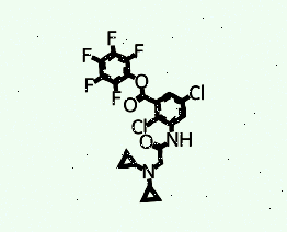 O=C(CN(C1CC1)C1CC1)Nc1cc(Cl)cc(C(=O)Oc2c(F)c(F)c(F)c(F)c2F)c1Cl